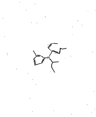 C/C=C\C(=C/CC)N(c1cccc(C)c1)C(C)CC